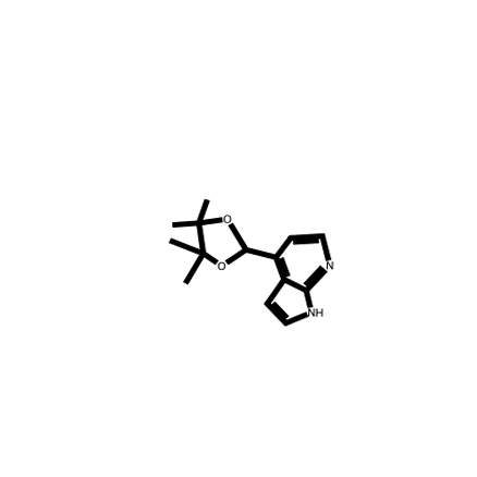 CC1(C)OC(c2ccnc3[nH]ccc23)OC1(C)C